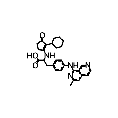 Cc1cc2ccncc2c(Nc2ccc(CC(NC3=C(C4CCCCC4)C(=O)CC3)C(=O)O)cc2)n1